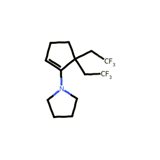 FC(F)(F)CC1(CC(F)(F)F)CCC=C1N1CCCC1